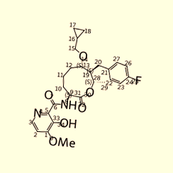 COc1ccnc(C(=O)N[C@H]2CCC[C@H](OCC3CC3)[C@@H](Cc3ccc(F)cc3)[C@H](C)OC2=O)c1O